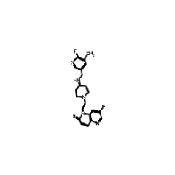 Cc1cc(CNC2CCN(CCn3c(=O)ccc4ncc(F)cc43)CC2)cnc1F